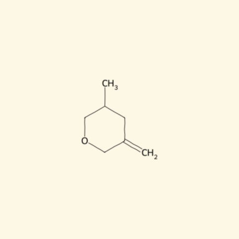 C=C1COCC(C)C1